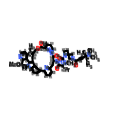 CCn1c(-c2cccnc2[C@H](C)OC)c2c3cc(ccc31)-c1cccc(n1)C[C@H](NC(=O)[C@H](C(C)C)N(C)C(=O)N1CCC13CN(C(=O)C#CC(C)(C)N(C)C)C3)C(=O)N1CCC[C@H](N1)C(=O)OCC(C)(C)C2